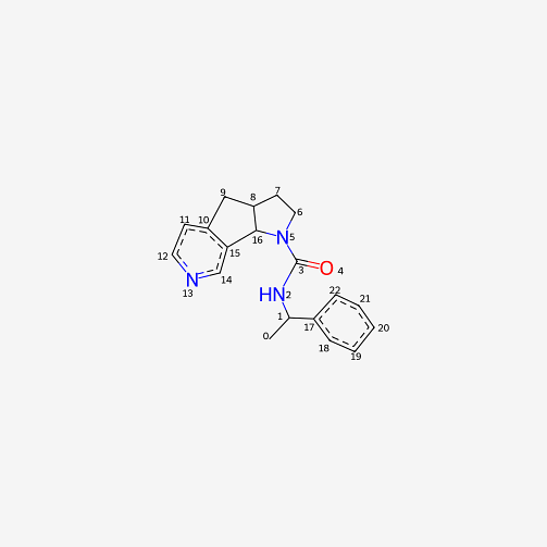 CC(NC(=O)N1CCC2Cc3ccncc3C21)c1ccccc1